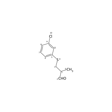 CC(C=O)CSc1cccc(Cl)c1